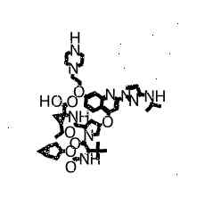 CCC1CC1(NC(=O)C1C[C@@H](Oc2cc(-n3ccc(NC(C)C)n3)nc3cc(OCCN4CCNCC4)ccc23)CN1C(=O)C(NC(=O)OC1CC2CC2C1)C(C)(C)C)C(=O)O